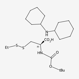 C1CCC(NC2CCCCC2)CC1.CCSSC[C@H](NC(=O)OC(C)(C)C)C(=O)O